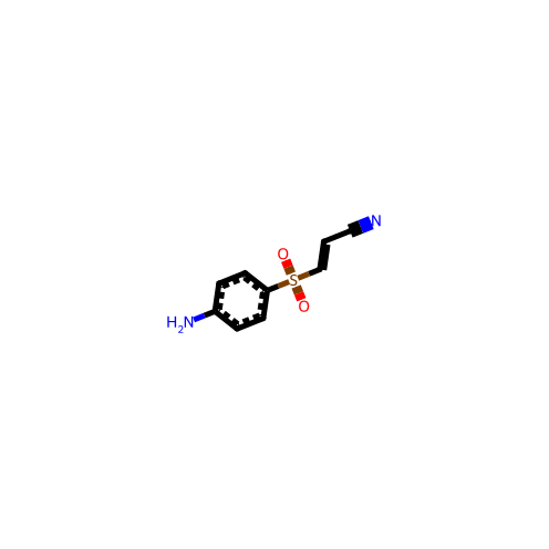 N#C/C=C/S(=O)(=O)c1ccc(N)cc1